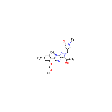 CCOCOc1cc(C(F)(F)F)cc(C)c1-c1cnc2c([C@@H](C)O)n(CC3CC(=O)N(C4CC4)C3)nc2n1